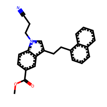 COC(=O)c1ccc2c(c1)c(CCc1cccc3ccccc13)cn2CCC#N